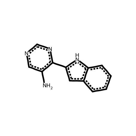 Nc1cncnc1-c1cc2ccccc2[nH]1